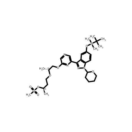 C[C@H](COc1cncc(-c2nn(C3CCCCO3)c3ccc(O[Si](C)(C)C(C)(C)C)cc23)n1)OCC[C@@H](C)OS(C)(=O)=O